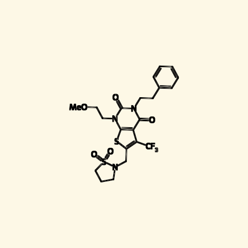 COCCn1c(=O)n(CCc2ccccc2)c(=O)c2c(C(F)(F)F)c(CN3CCCS3(=O)=O)sc21